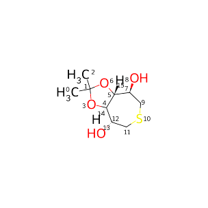 CC1(C)O[C@H]2[C@H](O1)[C@@H](O)CSC[C@@H]2O